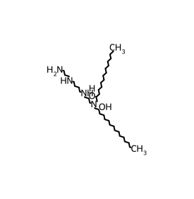 CCCCCCCCCCCCCCC(O)CN(CCCNCCCCNCCCN)CC(O)CCCCCCCCCCCCCC